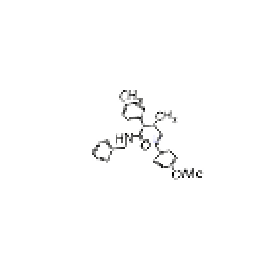 COc1ccc(/C=C/C(C)C(C(=O)NCc2ccccc2)c2ccc(C)cc2)cc1